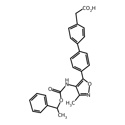 Cc1noc(-c2ccc(-c3ccc(CC(=O)O)cc3)cc2)c1NC(=O)OC(C)c1ccccc1